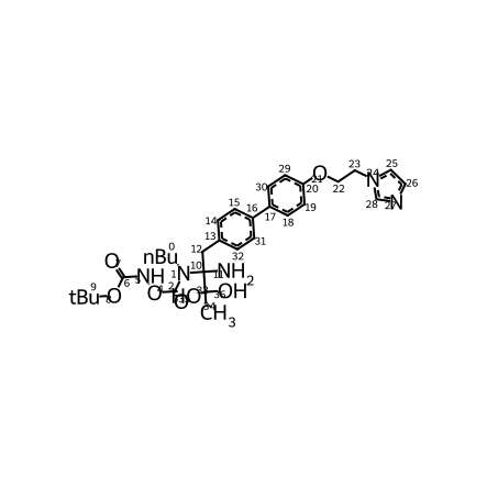 CCCCN(C(=O)ONC(=O)OC(C)(C)C)C(N)(Cc1ccc(-c2ccc(OCCn3ccnc3)cc2)cc1)C(C)(O)O